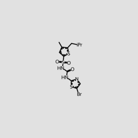 Cc1cc(S(=O)(=O)NC(=O)Nc2ncc(Br)s2)sc1CC(C)C